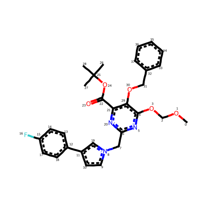 COCOc1nc(Cn2ccc(-c3ccc(F)cc3)c2)nc(C(=O)OC(C)(C)C)c1OCc1ccccc1